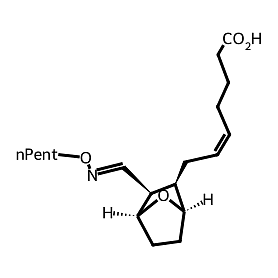 CCCCCON=C[C@H]1[C@@H](C/C=C\CCCC(=O)O)[C@H]2CC[C@@H]1O2